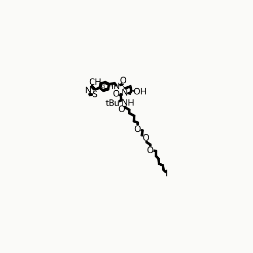 Cc1ncsc1-c1ccc(CNC(=O)[C@@H]2C[C@@H](O)CN2C(=O)C(NC(=O)CCCCCOCCOCCOCCCCCCI)C(C)(C)C)cc1